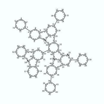 c1ccc(-c2ccc3c(c2)c2cc(-c4ccccc4)cc4c5cc6c7nc(-c8ccccc8)cc8c9cc(-c%10ccccc%10)ccc9n(c6c(-c6cc9c%10ccccc%10n%10c%11ccccc%11c(c6)c9%10)c5n3c24)c87)cc1